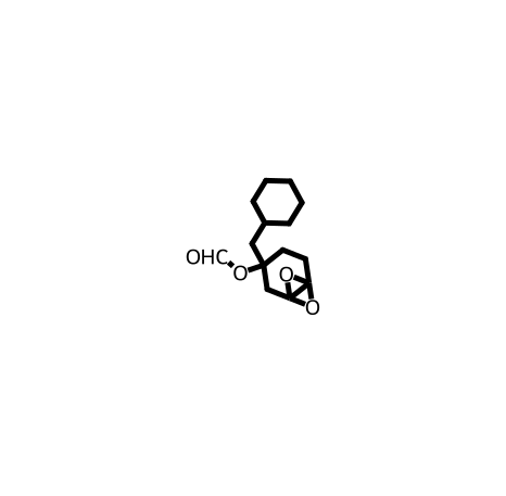 O=COC1(CC2CCCCC2)CCC23OC2(C1)O3